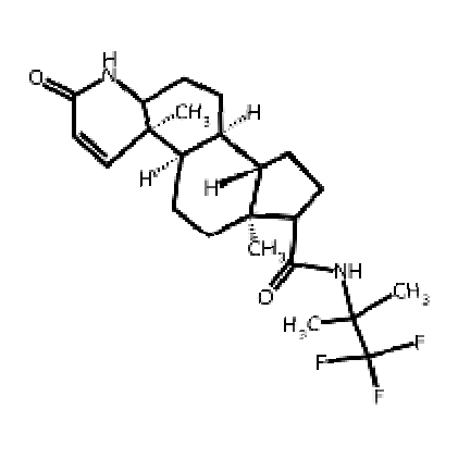 CC(C)(NC(=O)C1CC[C@H]2[C@@H]3CCC4NC(=O)C=C[C@]4(C)[C@@H]3CC[C@]12C)C(F)(F)F